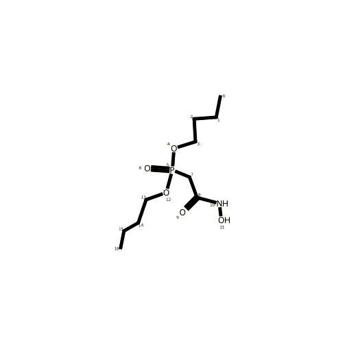 CCCCOP(=O)(CC(=O)NO)OCCCC